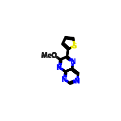 COc1nc2ncncc2nc1-c1cccs1